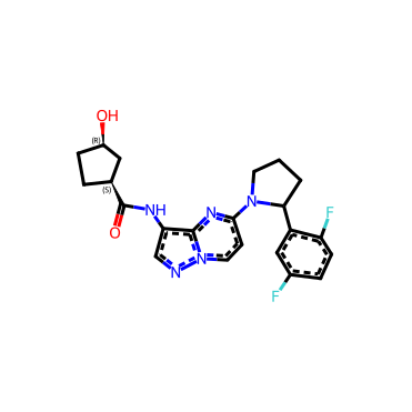 O=C(Nc1cnn2ccc(N3CCCC3c3cc(F)ccc3F)nc12)[C@H]1CC[C@@H](O)C1